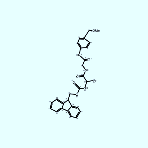 COCc1ccc(NC(=O)CNC(=O)C(NC(=O)OCC2c3ccccc3-c3ccccc32)C(C)C)cc1